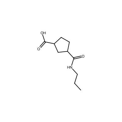 CCCNC(=O)C1CCC(C(=O)O)C1